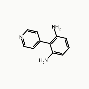 Nc1cccc(N)c1-c1ccncc1